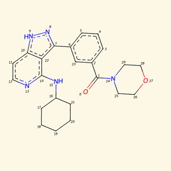 O=C(c1cccc(-c2n[nH]c3ccnc(NC4CCCCC4)c23)c1)N1CCOCC1